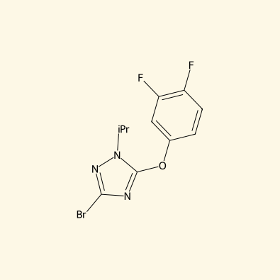 CC(C)n1nc(Br)nc1Oc1ccc(F)c(F)c1